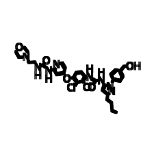 CCCCc1cc(NC(=O)Nc2ccc(Oc3ccnc(NC(=O)NCCN4CCOCC4)c3)c(Cl)c2Cl)n(-c2ccc(CO)cc2)n1